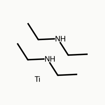 CCNCC.CCNCC.[Ti]